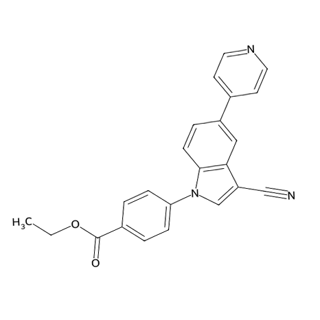 CCOC(=O)c1ccc(-n2cc(C#N)c3cc(-c4ccncc4)ccc32)cc1